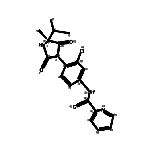 CC(C)[C@@]1(C)NC(=O)N(c2ccc(NC(=O)c3ccccn3)cc2Cl)C1=O